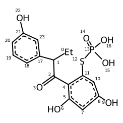 CCC(C(=O)c1c(O)cc(O)cc1SP(=O)(O)O)c1cccc(O)c1